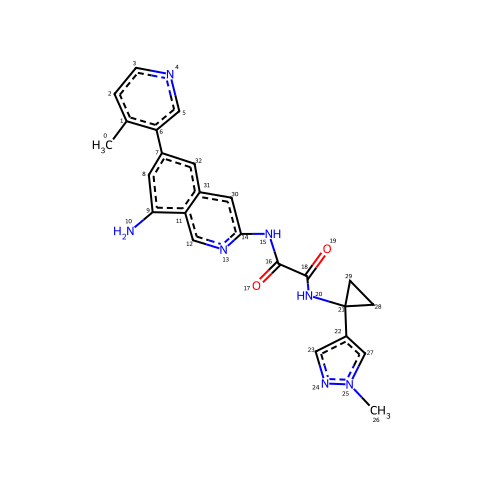 Cc1ccncc1-c1cc(N)c2cnc(NC(=O)C(=O)NC3(c4cnn(C)c4)CC3)cc2c1